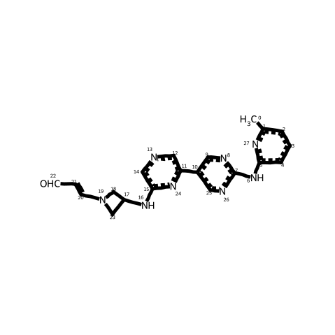 Cc1cccc(Nc2ncc(-c3cncc(NC4CN(C=CC=O)C4)n3)cn2)n1